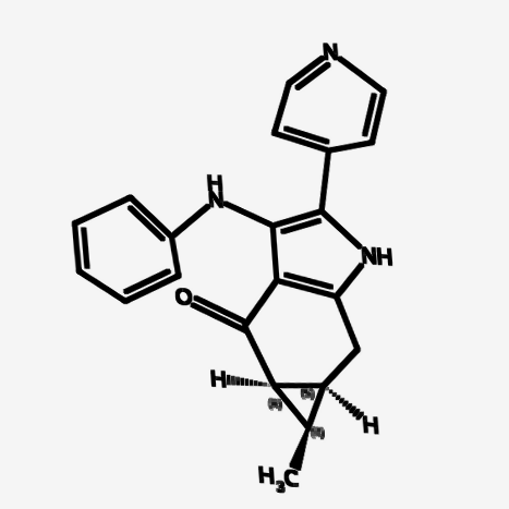 C[C@@H]1[C@@H]2Cc3[nH]c(-c4ccncc4)c(Nc4ccccc4)c3C(=O)[C@H]12